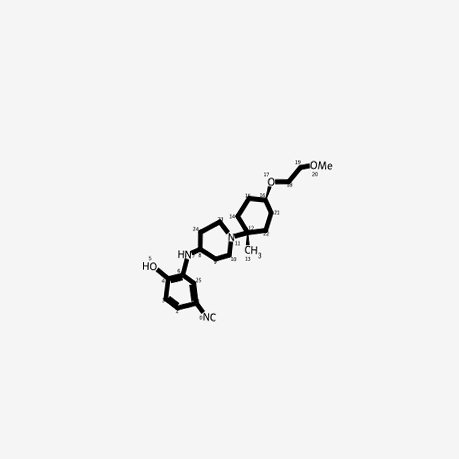 [C-]#[N+]c1ccc(O)c(NC2CCN([C@]3(C)CC[C@@H](OCCOC)CC3)CC2)c1